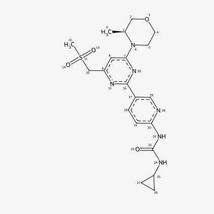 C[C@H]1COCCN1c1cc(CS(C)(=O)=O)nc(-c2ccc(NC(=O)NC3CC3)nc2)n1